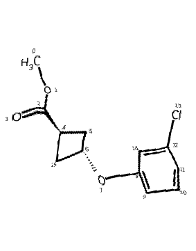 COC(=O)[C@H]1C[C@H](Oc2cccc(Cl)c2)C1